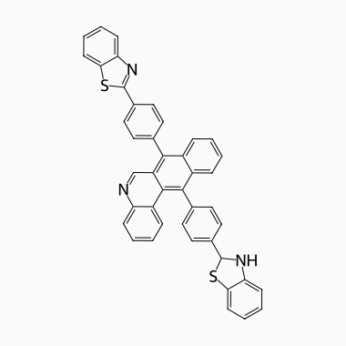 c1ccc2c(c1)NC(c1ccc(-c3c4ccccc4c(-c4ccc(-c5nc6ccccc6s5)cc4)c4cnc5ccccc5c34)cc1)S2